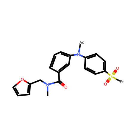 CCS(=O)(=O)c1ccc(N(C(C)=O)c2cccc(C(=O)N(C)Cc3ccco3)c2)cc1